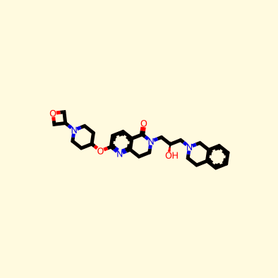 O=C1c2ccc(OC3CCN(C4COC4)CC3)nc2CCN1C[C@H](O)CN1CCc2ccccc2C1